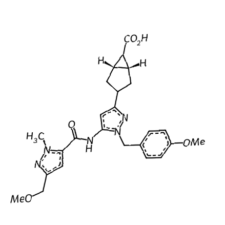 COCc1cc(C(=O)Nc2cc(C3C[C@@H]4C(C(=O)O)[C@@H]4C3)nn2Cc2ccc(OC)cc2)n(C)n1